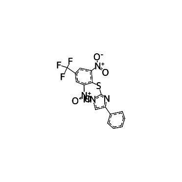 O=[N+]([O-])c1cc(C(F)(F)F)cc([N+](=O)[O-])c1Sc1nc(-c2ccccc2)c[nH]1